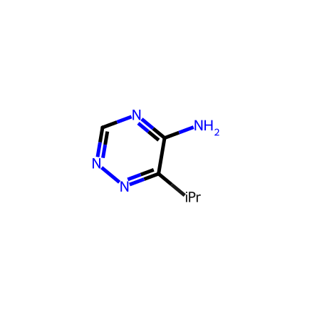 CC(C)c1nncnc1N